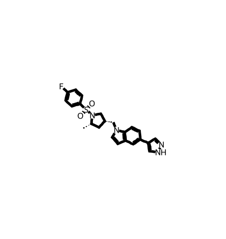 C[C@H]1C[C@@H](Cn2ccc3cc(-c4cn[nH]c4)ccc32)CN1S(=O)(=O)c1ccc(F)cc1